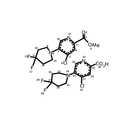 COC(=O)c1cc(Cl)c(N2CCC(F)(F)CC2)cn1.O=C(O)c1cc(Cl)c(N2CCC(F)(F)CC2)cn1